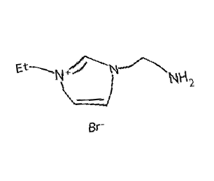 CC[n+]1ccn(CN)c1.[Br-]